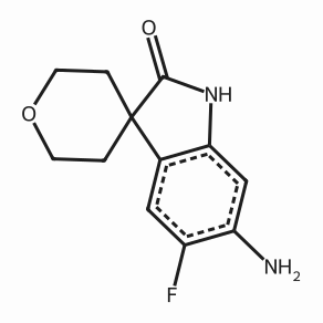 Nc1cc2c(cc1F)C1(CCOCC1)C(=O)N2